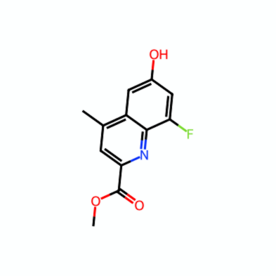 COC(=O)c1cc(C)c2cc(O)cc(F)c2n1